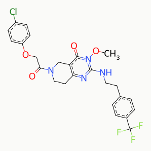 COn1c(NCCc2ccc(C(F)(F)F)cc2)nc2c(c1=O)CN(C(=O)COc1ccc(Cl)cc1)CC2